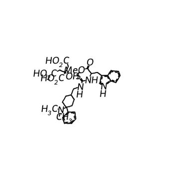 COC(=O)C(Cc1c[nH]c2ccccc12)NC(=S)NCC1CCC(c2ccccc2)(N(C)C)CC1.O=C(O)CC(O)(CC(=O)O)C(=O)O